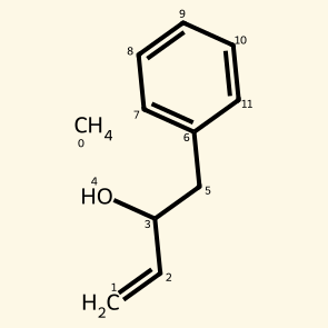 C.C=CC(O)Cc1ccccc1